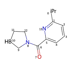 CC(C)c1cccc(C(=O)N2CBCC2)n1